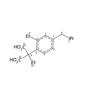 CCc1cc(CC(C)C)ccc1C(CC)(C(=O)O)C(=O)O